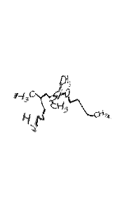 CCCCO[Si](C)(C)CC(C)CN